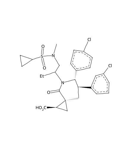 CCC(CN(C)S(=O)(=O)C1CC1)N1C(=O)[C@@]2(C[C@H](c3cccc(Cl)c3)[C@H]1c1ccc(Cl)cc1)C[C@H]2C(=O)O